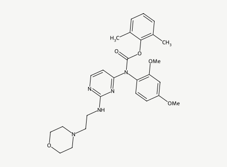 COc1ccc(N(C(=O)Oc2c(C)cccc2C)c2ccnc(NCCN3CCOCC3)n2)c(OC)c1